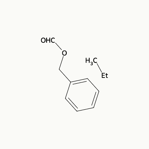 CCC.O=COCc1ccccc1